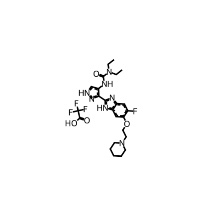 CCN(CC)C(=O)Nc1c[nH]nc1-c1nc2cc(F)c(OCCN3CCCCC3)cc2[nH]1.O=C(O)C(F)(F)F